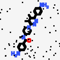 Cc1c(-c2ccc(N)cc2)nnc(N2CCC(N(C)C(=O)c3ccc(N)cc3)CC2)c1C